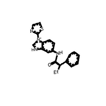 CCC(C(=O)Nc1ccc2c(c1)[nH]c[n+]2-c1nccs1)c1ccccc1